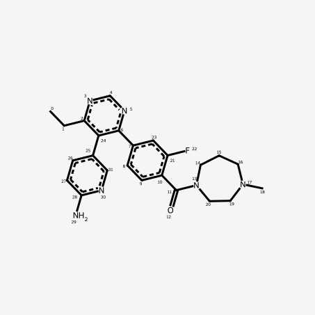 CCc1ncnc(-c2ccc(C(=O)N3CCCN(C)CC3)c(F)c2)c1-c1ccc(N)nc1